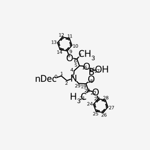 CCCCCCCCCCCCN1CC(C(C)Oc2ccccc2)OB(O)OC(C(C)Oc2ccccc2)C1